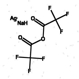 O=C(OC(=O)C(F)(F)F)C(F)(F)F.[Ag].[NaH]